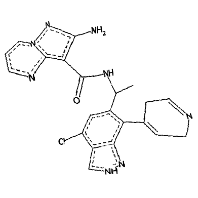 CC(NC(=O)c1c(N)nn2cccnc12)c1cc(Cl)c2c[nH]nc2c1C1=CCN=CC1